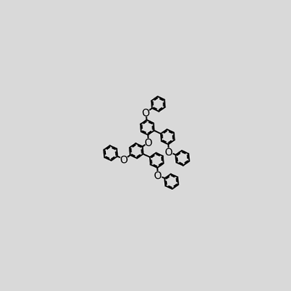 c1ccc(Oc2cccc(-c3cc(Oc4ccccc4)ccc3Oc3ccc(Oc4ccccc4)cc3-c3cccc(Oc4ccccc4)c3)c2)cc1